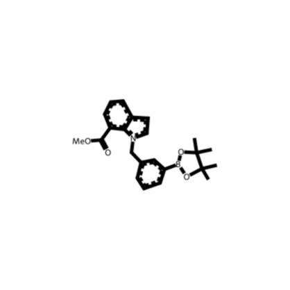 COC(=O)c1cccc2ccn(Cc3cccc(B4OC(C)(C)C(C)(C)O4)c3)c12